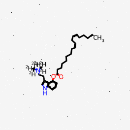 [2H]C([2H])([2H])N(CCc1c[nH]c2cccc(OC(=O)CCCCCCC/C=C\C/C=C\CCCCC)c12)C([2H])([2H])[2H]